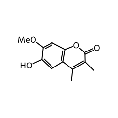 COc1cc2oc(=O)c(C)c(C)c2cc1O